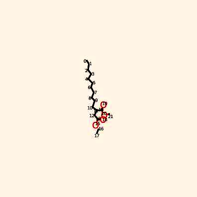 CCCCCCCCCCCC(CC(=O)OCC)C(=O)OC